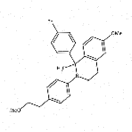 COCCc1ccc(N2CCc3cc(OC)ccc3C2(C)c2ccc(Br)cc2)cc1